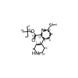 CSc1ccc(C2=CCNCC2)c(C(=O)OC(C)(C)C)n1